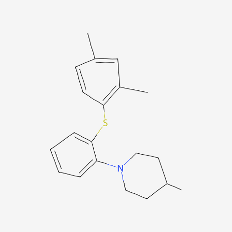 Cc1ccc(Sc2ccccc2N2CCC(C)CC2)c(C)c1